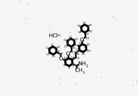 CC(N)c1ccc(OCc2ccccc2)c(OCc2ccccc2)c1CCc1cccc(OCc2ccccc2)c1.Cl